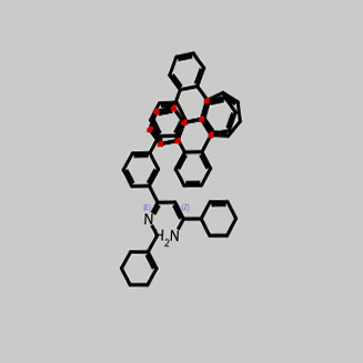 N/C(=C\C(=N/CC1=CCCCC1)c1cccc(-c2ccccc2-c2ccccc2C2=CCC=CC=C2c2ccccc2-c2ccccc2-c2ccccc2-c2ccccc2)c1)C1C=CCCC1